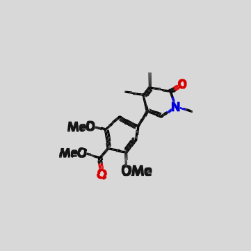 COC(=O)c1c(OC)cc(-c2cn(C)c(=O)c(C)c2C)cc1OC